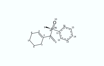 C=C(C1=CCCCC1)[P@](C)(=O)c1ccccc1